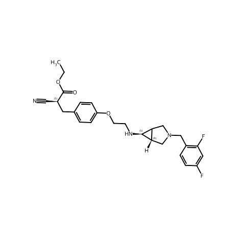 CCOC(=O)[C@H](C#N)Cc1ccc(OCCN[C@H]2C3CN(Cc4ccc(F)cc4F)C[C@@H]32)cc1